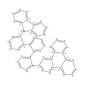 c1ccc(-c2ccccc2-c2ccccc2-n2c3ccccc3c3ccccc32)c(-c2ccc3c4ccccc4c4ccccc4c3c2)c1